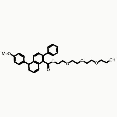 COc1ccc(C2CC=Cc3c2ccc(-c2ccccc2)c3C(=O)OCCOCCOCCOCCO)cc1